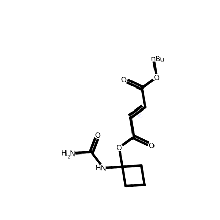 CCCCOC(=O)/C=C/C(=O)OC1(NC(N)=O)CCC1